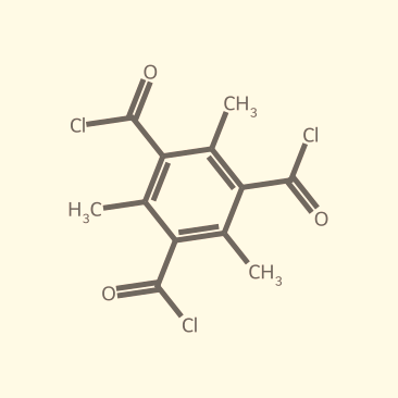 Cc1c(C(=O)Cl)c(C)c(C(=O)Cl)c(C)c1C(=O)Cl